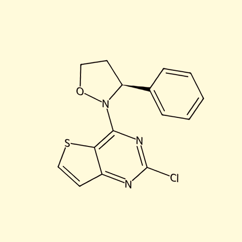 Clc1nc(N2OCC[C@H]2c2ccccc2)c2sccc2n1